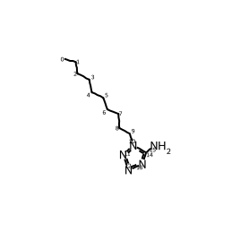 CCCCCCCCCCn1nnnc1N